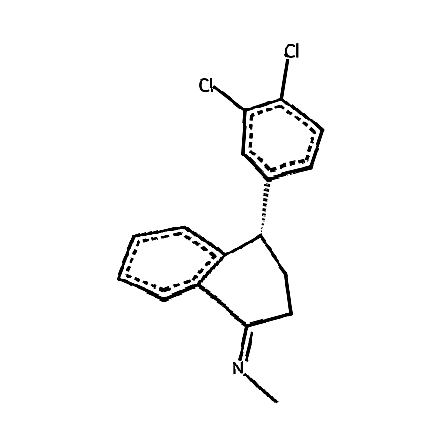 C/N=C1\CC[C@@H](c2ccc(Cl)c(Cl)c2)c2ccccc21